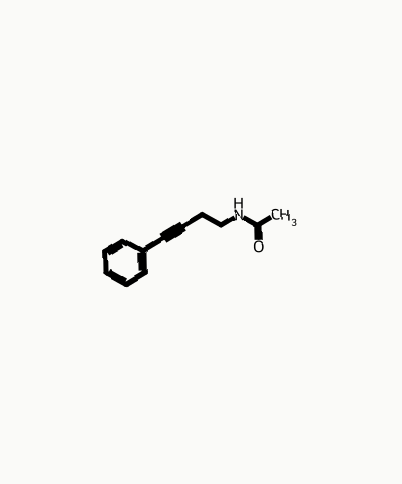 CC(=O)NCCC#Cc1ccccc1